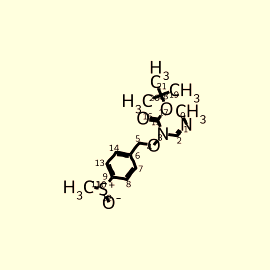 C/N=C\N(OCc1ccc([S+](C)[O-])cc1)C(=O)OC(C)(C)C